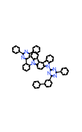 c1ccc(-c2cccc(-c3nc(-c4ccccc4)nc(-n4c5ccccc5c5c6c7ccccc7n(-c7ccccc7-c7cc(-c8ccccc8)nc(-c8ccccc8)n7)c6ccc54)n3)c2)cc1